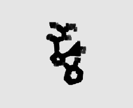 Cl.N=C(N)NC(=O)c1cnn(-c2ccccc2Br)c1C1CC1